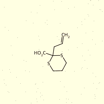 C=CCC1(C(=O)O)SCCCS1